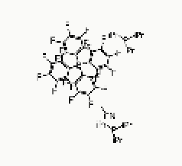 CC#N.CC(C)P(C(C)C)C(C)C.CC(C)P(C(C)C)C(C)C.Fc1c(F)c(F)c([B-](c2c(F)c(F)c(F)c(F)c2F)(c2c(F)c(F)c(F)c(F)c2F)c2c(F)c(F)c(F)c(F)c2F)c(F)c1F